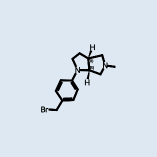 CN1C[C@H]2CCN(c3ccc(CBr)cc3)[C@H]2C1